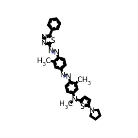 Cc1cc(N(C)c2ccc(N3CCCC3)s2)ccc1/N=N/c1ccc(/N=N/c2nnc(-c3ccccc3)s2)c(C)c1